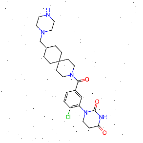 O=C1CCN(c2cc(C(=O)N3CCC4(CCC(CN5CCNCC5)CC4)CC3)ccc2Cl)C(=O)N1